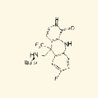 CC[C@H](C)NCC1(C(F)(F)F)c2cc(F)ccc2Nc2c1cc[nH]c2=O